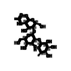 CC(=O)N[C@H]1C(O)O[C@H](CO)[C@@H](O[C@@H]2O[C@H](CO)[C@H](O)[C@H](O)[C@H]2O[C@@H]2O[C@@H](C)[C@@H](O)[C@@H](O)[C@@H]2O)[C@@H]1O